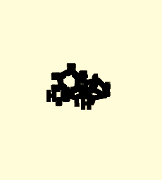 CCN1CC2CC(C1)C2Nc1ccccn1